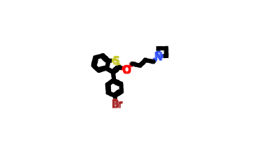 Brc1ccc(-c2c(OCCCCN3CCC3)sc3ccccc23)cc1